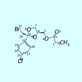 CCC(=O)OC[C@@H]1CO[C@@](CBr)(c2ccc(Cl)cc2)O1